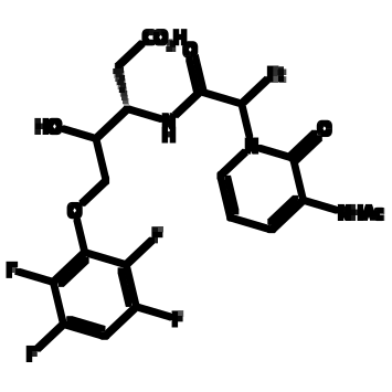 CCC(C(=O)N[C@@H](CC(=O)O)C(O)COc1c(F)c(F)cc(F)c1F)n1cccc(NC(C)=O)c1=O